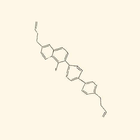 C=CCCc1ccc(-c2ccc(-c3ccc4cc(CCC=C)ccc4c3F)cc2)cc1